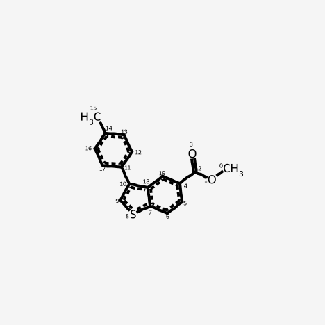 COC(=O)c1ccc2scc(-c3ccc(C)cc3)c2c1